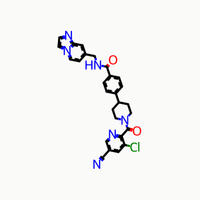 N#Cc1cnc(C(=O)N2CCC(c3ccc(C(=O)NCc4ccn5ccnc5c4)cc3)CC2)c(Cl)c1